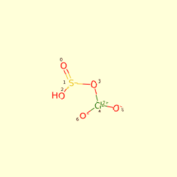 O=S(O)O[Cl+2]([O-])[O-]